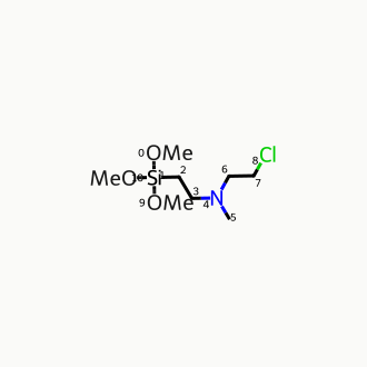 CO[Si](CCN(C)CCCl)(OC)OC